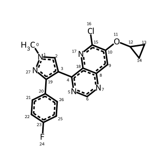 Cn1cc(-c2ncnc3cc(OC4CC4)c(Cl)nc23)c(-c2ccc(F)cc2)n1